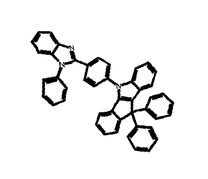 c1ccc(-n2c(-c3ccc(-n4c5c(c6ccccc64)C(c4ccccc4)(c4ccccc4)c4ccccc4-5)cc3)nc3ccccc32)cc1